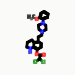 COc1ccccc1N1CCN(CCc2ccc(OC(=O)C(Cl)Cl)c3c2CCCN3)CC1